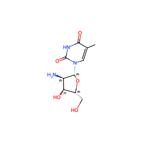 Cc1cn([C@@H]2O[C@H](CO)[C@@H](O)[C@H]2N)c(=O)[nH]c1=O